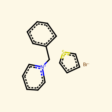 [Br-].c1ccc(C[n+]2ccccc2)cc1.c1ccsc1